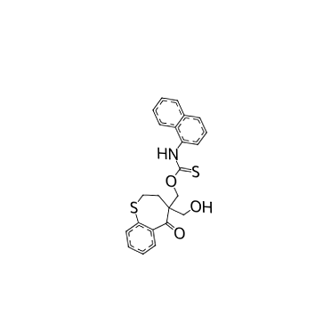 O=C1c2ccccc2SCCC1(CO)COC(=S)Nc1cccc2ccccc12